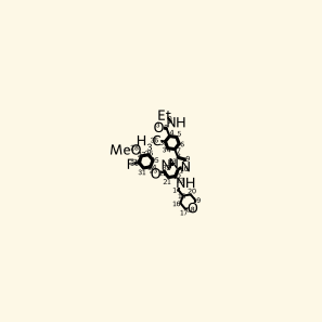 CCNC(=O)c1ccc(-c2cnc3c(NCC4CCOCC4)cc(Oc4ccc(OC)c(F)c4)nn23)cc1C